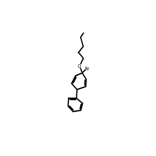 CCCCCOC1(Br)C=CC(c2ccccc2)C=C1